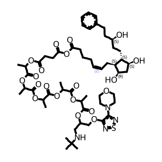 CC(OC(=O)CCC(=O)OC(=O)CCC/C=C\C[C@H]1[C@H](CC[C@H](O)CCc2ccccc2)[C@@H](O)C[C@H]1O)C(=O)OC(C)C(=O)OC(C)C(=O)OC(C)C(=O)OC(C)C(=O)OC(CNC(C)(C)C)COc1nsnc1N1CCOCC1